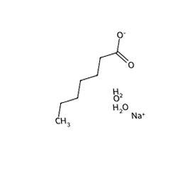 CCCCCCC(=O)[O-].O.O.[Na+]